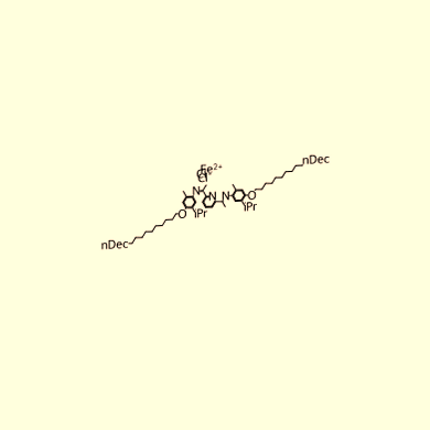 CCCCCCCCCCCCCCCCCCCCOc1cc(C)c(N=C(C)c2cccc(C(C)=Nc3cc(C(C)C)c(OCCCCCCCCCCCCCCCCCCCC)cc3C)n2)cc1C(C)C.[Cl-].[Cl-].[Fe+2]